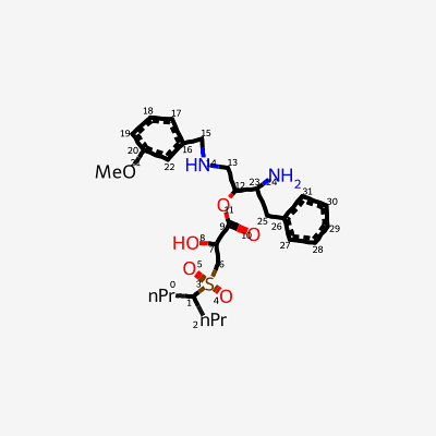 CCCC(CCC)S(=O)(=O)CC(O)C(=O)OC(CNCc1cccc(OC)c1)C(N)Cc1ccccc1